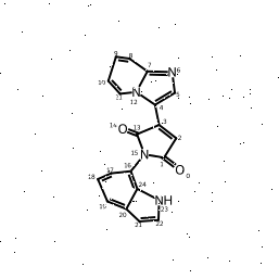 O=C1C=C(c2cnc3ccccn23)C(=O)N1c1cccc2cc[nH]c12